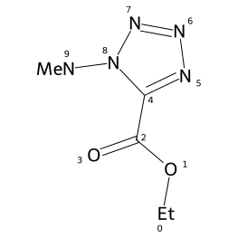 CCOC(=O)c1nnnn1NC